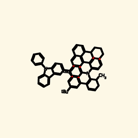 CC1CC=CC(c2cc(C(C)(C)C)cc(C(C)(C)C)c2)=C1N(c1ccc(-c2ccc3c(c2)c2ccccc2n3-c2ccccc2)cc1)c1ccccc1-c1cccc2cccc(C3CCCCC3)c12